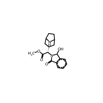 COC(=O)[C@H](C1CC2CCC(C1)N2)N1C(=O)c2ccccc2C1O